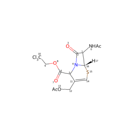 CC(=O)NC1C(=O)N2C(C(=O)OCC(Cl)(Cl)Cl)C(COC(C)=O)=CS[C@@H]12